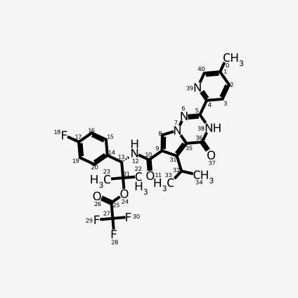 Cc1ccc(-c2nn3cc(C(=O)N[C@@H](c4ccc(F)cc4)C(C)(C)OC(=O)C(F)(F)F)c(C(C)C)c3c(=O)[nH]2)nc1